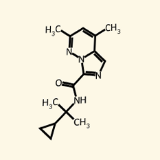 Cc1cc(C)c2cnc(C(=O)NC(C)(C)C3CC3)n2n1